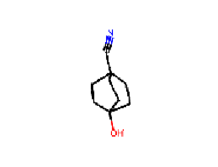 N#CC12CCC(O)(CC1)CC2